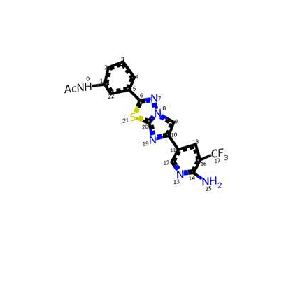 CC(=O)Nc1cccc(-c2nn3cc(-c4cnc(N)c(C(F)(F)F)c4)nc3s2)c1